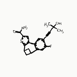 CC(C)(O)C#Cc1cc2c(cc1F)C1CC(C1)c1sc(C(N)=O)cc1-2